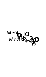 COc1ccc(N2CCN(CCCN3C(=O)C4CC=CCC4C3=O)CC2)c(OC)c1.Cl